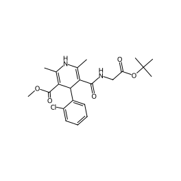 COC(=O)C1=C(C)NC(C)=C(C(=O)NCC(=O)OC(C)(C)C)C1c1ccccc1Cl